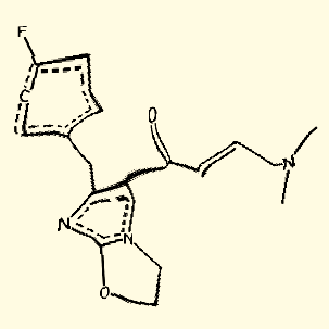 CN(C)C=CC(=O)c1c(-c2ccc(F)cc2)nc2n1CCO2